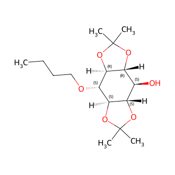 CCCCO[C@@H]1[C@H]2OC(C)(C)O[C@@H]2[C@@H](O)[C@@H]2OC(C)(C)O[C@@H]12